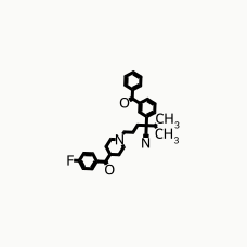 CC(C)C(C#N)(CCCN1CCC(C(=O)c2ccc(F)cc2)CC1)c1cccc(C(=O)c2ccccc2)c1